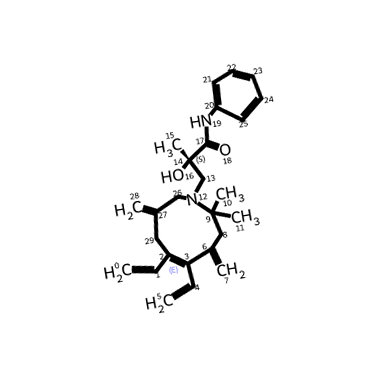 C=C/C1=C(\C=C)C(=C)CC(C)(C)N(C[C@](C)(O)C(=O)Nc2ccccc2)CC(=C)C1